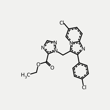 CCOC(=O)c1ncnn1Cc1c(-c2ccc(Cl)cc2)nc2ccc(Cl)cn12